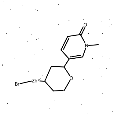 Cn1cc(C2C[CH]([Zn+][Br])CCO2)ccc1=O